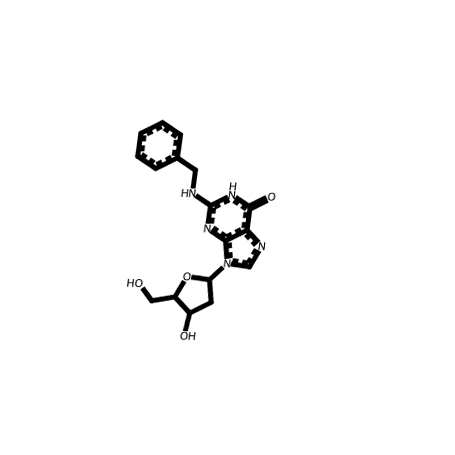 O=c1[nH]c(NCc2ccccc2)nc2c1ncn2C1CC(O)C(CO)O1